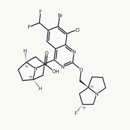 O=C(O)N1[C@@H]2CC[C@H]1CN(c1nc(OC[C@@]34CCCN3C[C@H](F)C4)nc3c(Cl)c(Br)c(C(F)F)cc13)C2